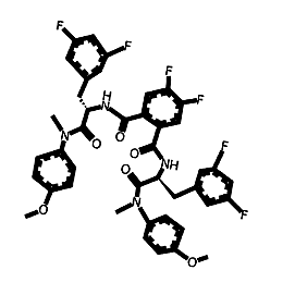 COc1ccc(N(C)C(=O)[C@H](Cc2cc(F)cc(F)c2)NC(=O)c2cc(F)c(F)cc2C(=O)N[C@@H](Cc2cc(F)cc(F)c2)C(=O)N(C)c2ccc(OC)cc2)cc1